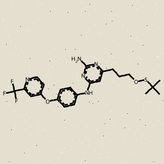 CC(C)(C)SOCCCc1cc(Nc2ccc(Oc3ccnc(C(F)(F)F)c3)cc2)nc(N)n1